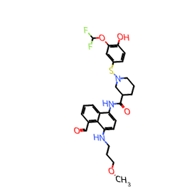 COCCCNc1ccc(NC(=O)C2CCCN(Sc3ccc(O)c(OC(F)F)c3)C2)c2cccc(C=O)c12